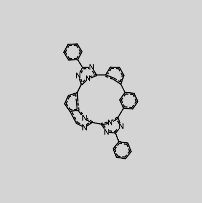 c1ccc(-c2nc3nc(n2)-c2ccc4cnc(nc4c2)-c2nc(-c4ccccc4)nc(n2)-c2cccc(c2)-c2cccc-3c2)cc1